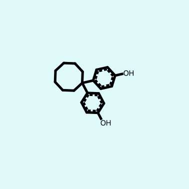 Oc1ccc(C2(c3ccc(O)cc3)CCCCCCC2)cc1